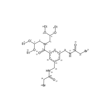 CCOC(CN(CC(OCC)OCC)C(=O)c1cc(CNC(=O)CBr)cc(CNC(=O)CBr)c1)OCC